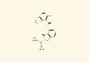 Cc1cnc2c(c1C(=O)Nc1cccc3c1C(=O)N(C(C1CC1)C1CC1)C3)OCO2